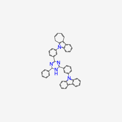 C1=CCc2c(c3ccccc3n2-c2cccc(C3=NC(c4ccccc4)NC(c4cccc(-n5c6ccccc6c6ccccc65)c4)=N3)c2)C=C1